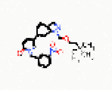 C[Si](C)(C)CCOCn1ncc2ccc(-c3ccc(=O)n(Cc4cccc([N+](=O)[O-])c4)c3)cc21